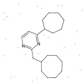 c1cc(C2CCCCCC2)nc(CC2CCCCCCC2)n1